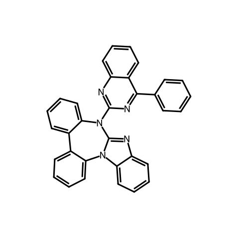 c1ccc(-c2nc(N3c4ccccc4-c4ccccc4-n4c3nc3ccccc34)nc3ccccc23)cc1